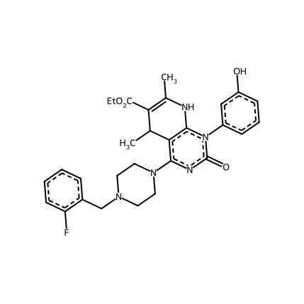 CCOC(=O)C1=C(C)Nc2c(c(N3CCN(Cc4ccccc4F)CC3)nc(=O)n2-c2cccc(O)c2)C1C